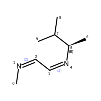 C/N=C\C=N/[C@H](C)C(C)C